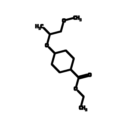 CCOC(=O)C1CCC(OC(C)COC)CC1